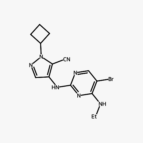 CCNc1nc(Nc2cnn(C3CCC3)c2C#N)ncc1Br